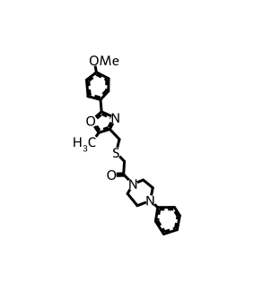 COc1ccc(-c2nc(CSCC(=O)N3CCN(c4ccccc4)CC3)c(C)o2)cc1